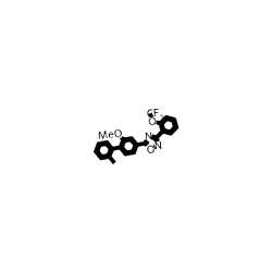 COc1cc(-c2nc(-c3ccccc3OC(F)(F)F)no2)ccc1-c1ccccc1C